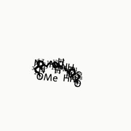 COc1ccc2nccc(CCN3C[C@@H]4[C@H](C3)[C@H]4NCc3ccc4c(n3)NC(=O)CS4)c2n1